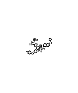 Cc1ccc(Oc2ccc(C(F)(F)C(NS(=O)(=O)c3ccc4cc(OC5CCCC5)ccc4c3)C(=O)N3CCC(NC(=O)OC(C)(C)C)CC3)cc2)cc1